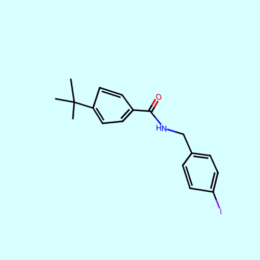 CC(C)(C)c1ccc(C(=O)NCc2ccc(I)cc2)cc1